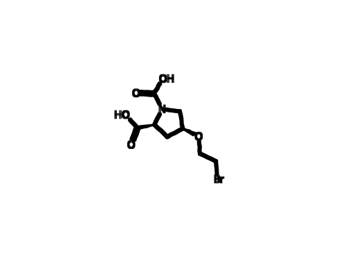 O=C(O)[C@@H]1C[C@H](OCCBr)CN1C(=O)O